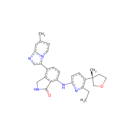 CCc1nc(Nc2ccc(-c3cnc4cc(C)ccn34)c3c2C(=O)NC3)ccc1[C@]1(C)CCOC1